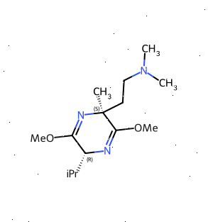 COC1=N[C@@](C)(CCN(C)C)C(OC)=N[C@@H]1C(C)C